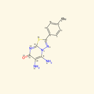 CC(C)(C)c1ccc(-c2nn3c(N)c(N)c(=O)nc3s2)cc1